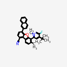 Cc1ccc2c(oc3c(-c4ccc5ccccc5c4)ccc(C#N)c32)c1-c1cc(C(C)(C)C)c(F)c[n+]1C